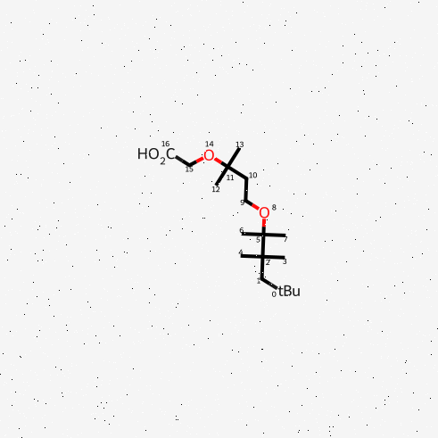 CC(C)(C)CC(C)(C)C(C)(C)OCCC(C)(C)OCC(=O)O